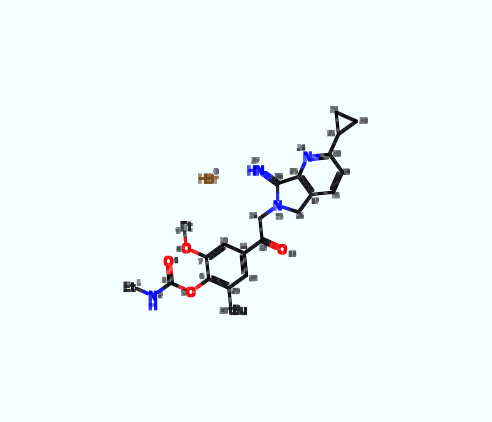 Br.CCNC(=O)Oc1c(OCC)cc(C(=O)CN2Cc3ccc(C4CC4)nc3C2=N)cc1C(C)(C)C